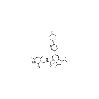 CC1=CN(C(C)C)C2C=C(c3ccc(N4CCNCC4)nc3)C=C(C(=O)NCc3c(C)cc(C)[nH]c3=O)[C@H]12